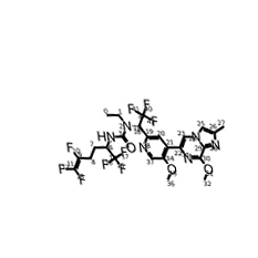 CCN(C(=O)NC(CCC(F)=C(F)F)C(F)(F)F)[C@@H](c1cc(-c2cn3cc(C)nc3c(OC)n2)c(OC)cn1)C(F)(F)F